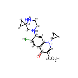 O=C(O)c1cn(C2CC2)c2cc(N3CCNC4(CC4)C3)c(F)cc2c1=O